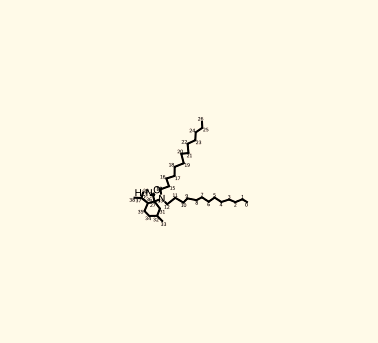 CCCCCCCCCCCCCN(CCCCCCCCCCCCC)C1(C(N)=O)CC(C)CCC1C(C)C